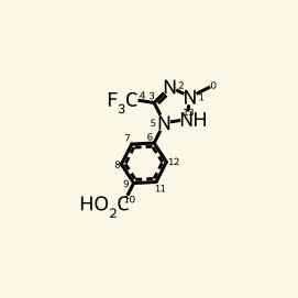 CN1N=C(C(F)(F)F)N(c2ccc(C(=O)O)cc2)N1